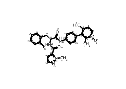 Cc1cc[n+]([O-])c(C)c1-c1ccc(NC(=O)[C@H](Cc2ccccc2F)NC(=O)c2ccnn2C)cc1